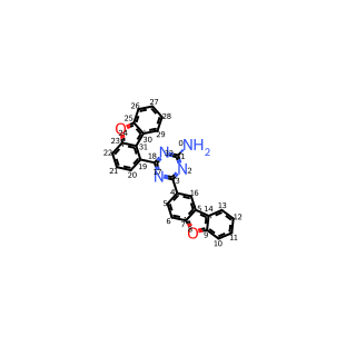 Nc1nc(-c2ccc3oc4ccccc4c3c2)nc(-c2cccc3oc4ccccc4c23)n1